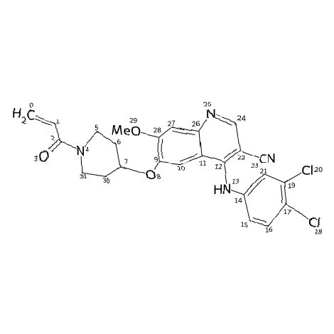 C=CC(=O)N1CCC(Oc2cc3c(Nc4ccc(Cl)c(Cl)c4)c(C#N)cnc3cc2OC)CC1